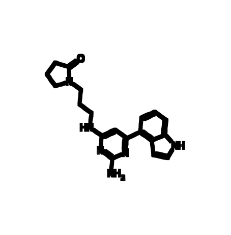 Nc1nc(NCCCN2CCCC2=O)cc(-c2cccc3[nH]ccc23)n1